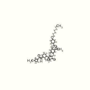 CCCCCCCOc1ccc(C(=O)Oc2ccc(CC(NC(=O)c3cccc(NC(=O)c4ccc(C)s4)c3)C(C)=O)cc2OC)cc1